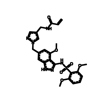 C=CC(=O)NCc1cnn(Cc2cc(OC)c3c(NS(=O)(=O)c4c(OC)cccc4OC)n[nH]c3c2)c1